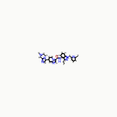 CCc1nn(Cc2cccc(C)n2)c2cccc(NC(=O)c3cnc4cc(-c5cnc6n5CCN(C)C6)ccn34)c12